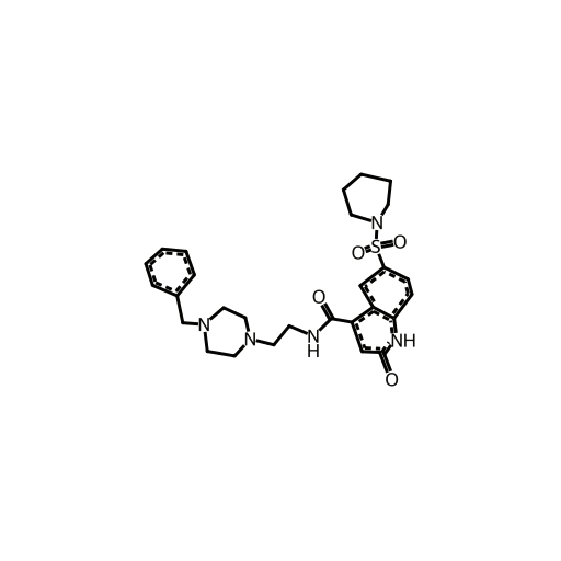 O=C(NCCN1CCN(Cc2ccccc2)CC1)c1cc(=O)[nH]c2ccc(S(=O)(=O)N3CCCCC3)cc12